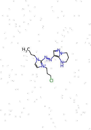 CCCn1cc[n+](CCCCl)c1/N=N/c1cnn2c1NCCC2